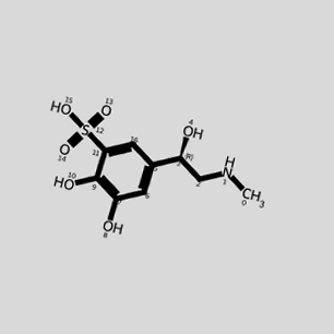 CNC[C@H](O)c1cc(O)c(O)c(S(=O)(=O)O)c1